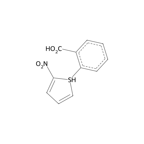 O=C(O)c1ccccc1[SH]1C=CC=C1[N+](=O)[O-]